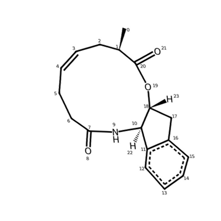 C[C@@H]1CC=CCCC(=O)N[C@@H]2c3ccccc3C[C@H]2OC1=O